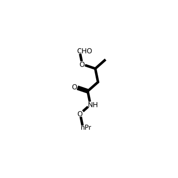 CCCONC(=O)CC(C)OC=O